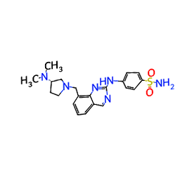 CN(C)[C@H]1CCN(Cc2cccc3cnc(Nc4ccc(S(N)(=O)=O)cc4)nc23)C1